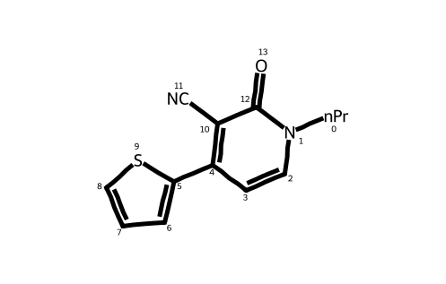 CCCn1ccc(-c2cccs2)c(C#N)c1=O